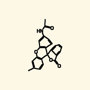 CC(=O)Nc1ccc2c(c1)Oc1cc(C)ccc1C21OC(=O)c2ccccc21